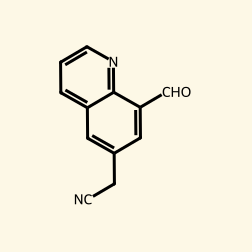 N#CCc1cc(C=O)c2ncccc2c1